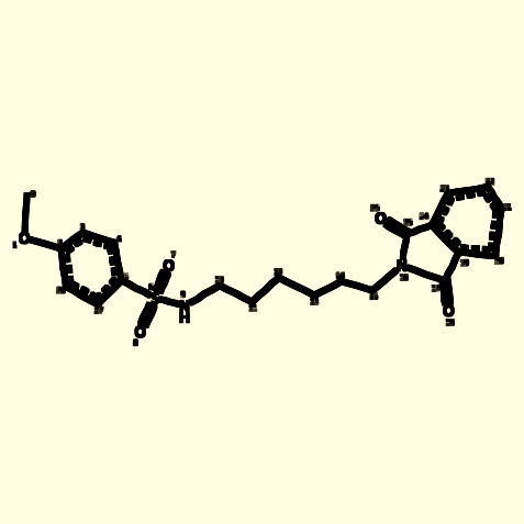 COc1ccc(S(=O)(=O)NCCCCCCN2C(=O)c3ccccc3C2=O)cc1